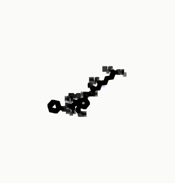 CO[C@]12C(NNC(=O)C/C(C)=C/CC=C(C)C)CCC1(CO)[C@@]2(C)/C(C)=N/Oc1ccccc1